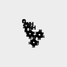 N=C1NC(=O)SC1=Cc1ccc(N(c2ccccc2)c2ccccc2)cc1